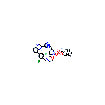 CC(C)(C)OC(=O)ON1CCCC(Cn2cc(-c3cnc4cccc(-c5cc(F)c(CN6CCOCC6)c(F)c5)c4n3)cn2)C1